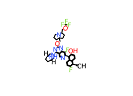 C#Cc1c(F)ccc2c(-c3ncc4c(N5C[C@H]6CC[C@@H](C5)N6)nc(OCC56CCCN5C(COC(F)(F)F)CC6)nc4c3F)c(O)ccc12